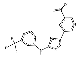 O=[N+]([O-])c1cncc(-c2csc(Nc3cccc(C(F)(F)F)c3)n2)c1